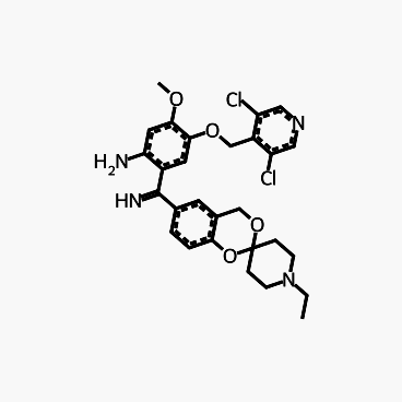 CCN1CCC2(CC1)OCc1cc(C(=N)c3cc(OCc4c(Cl)cncc4Cl)c(OC)cc3N)ccc1O2